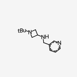 CC(C)(C)N1CC(NCc2cccnc2)C1